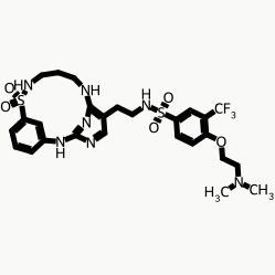 CN(C)CCOc1ccc(S(=O)(=O)NCCc2cnc3nc2NCCCNS(=O)(=O)c2cccc(c2)N3)cc1C(F)(F)F